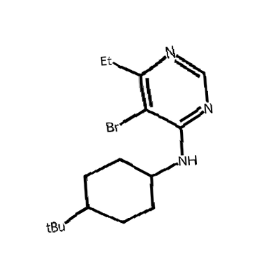 CCc1ncnc(NC2CCC(C(C)(C)C)CC2)c1Br